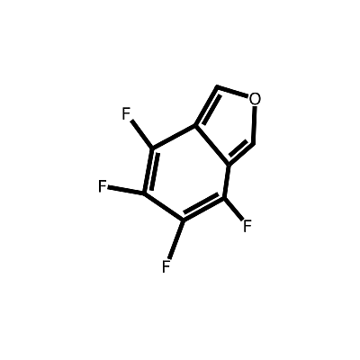 Fc1c(F)c(F)c2cocc2c1F